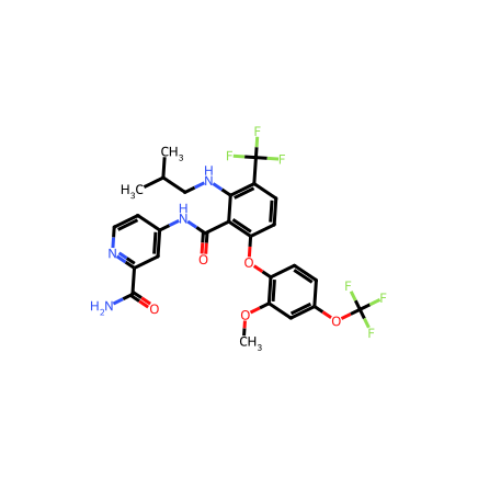 COc1cc(OC(F)(F)F)ccc1Oc1ccc(C(F)(F)F)c(NCC(C)C)c1C(=O)Nc1ccnc(C(N)=O)c1